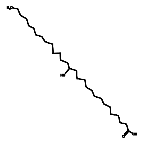 CCCCCCCCCCCCCCC(O)CCCCCCCCCCCCCC(=O)O